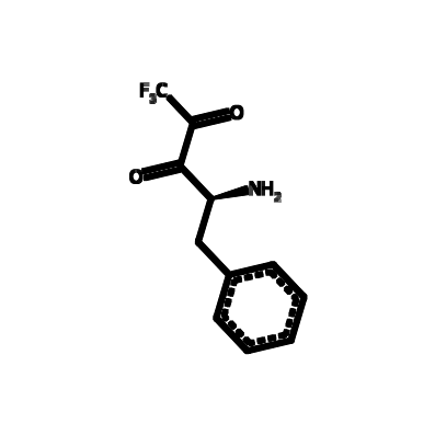 N[C@@H](Cc1ccccc1)C(=O)C(=O)C(F)(F)F